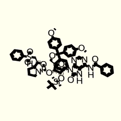 COc1ccc(C(OC[C@H]2O[C@@H](n3c(=O)[nH]c4c(NC(=O)c5ccccc5)ncnc43)[C@H](O[Si](C)(C)C(C)(C)C)[C@@H]2OP2O[C@H](CS(=O)(=O)c3ccccc3)[C@@H]3CCCN32)(c2ccccc2)c2ccc(OC)cc2)cc1